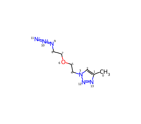 Cc1cn(CCOCCN=[N+]=[N-])nn1